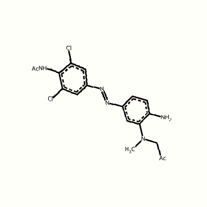 CC(=O)CN(C)c1cc(/N=N/c2cc(Cl)c(NC(C)=O)c(Cl)c2)ccc1N